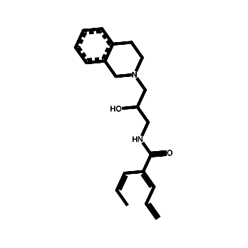 C=C/C=C(\C=C/C)C(=O)NCC(O)CN1CCc2ccccc2C1